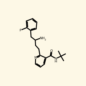 CC(C)(C)NC(=O)c1cccnc1CCC(N)Cc1ccccc1F